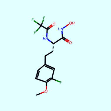 COc1ccc(CC[C@H](NC(=O)C(F)(F)F)C(=O)NO)cc1F